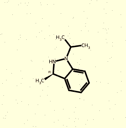 CC(C)N1N[C@H](C)c2ccccc21